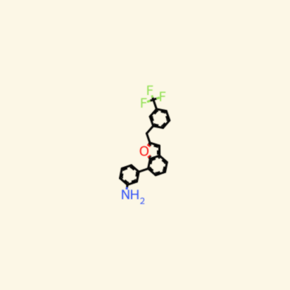 Nc1cccc(-c2cccc3cc(Cc4cccc(C(F)(F)F)c4)oc23)c1